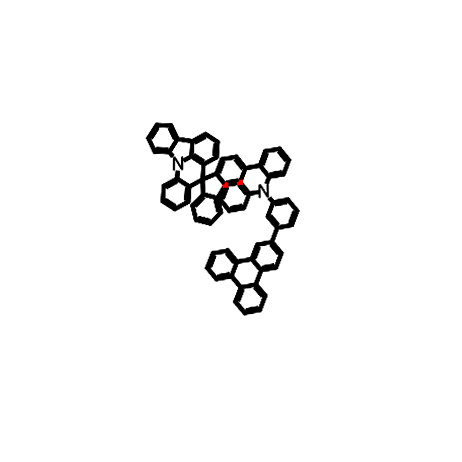 c1ccc(N(c2cccc(-c3ccc4c5ccccc5c5ccccc5c4c3)c2)c2ccccc2-c2ccc3c(c2)-c2ccccc2C32c3ccccc3-n3c4ccccc4c4cccc2c43)cc1